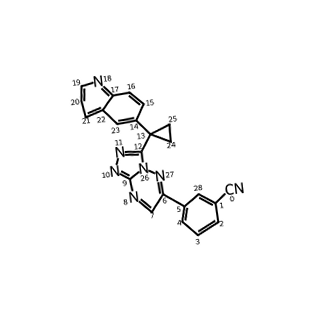 N#Cc1cccc(-c2cnc3nnc(C4(c5ccc6ncccc6c5)CC4)n3n2)c1